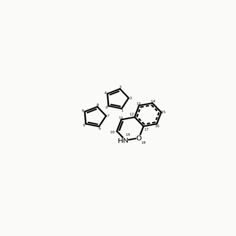 C1=CCC=C1.C1=CCC=C1.C1=Cc2ccccc2ON1